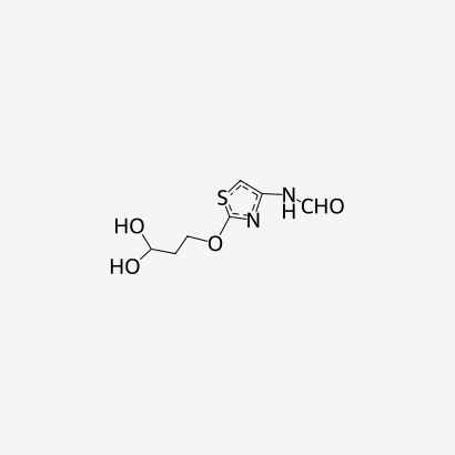 O=CNc1csc(OCCC(O)O)n1